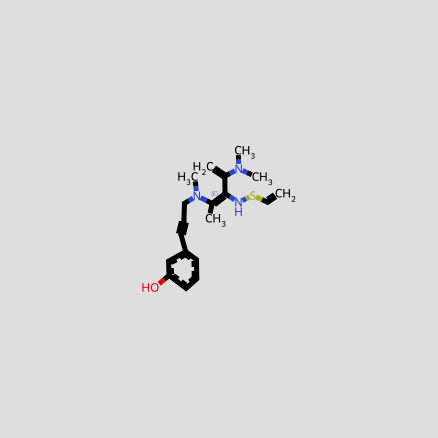 C=CSN/C(C(=C)N(C)C)=C(\C)N(C)CC#Cc1cccc(O)c1